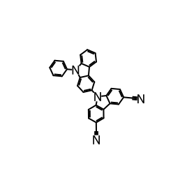 N#Cc1ccc2c(c1)c1cc(C#N)ccc1n2-c1ccc2c(c1)c1ccccc1n2-c1ccccc1